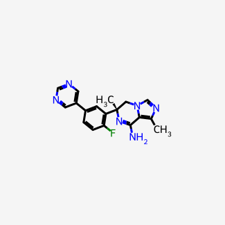 Cc1ncn2c1C(N)=N[C@](C)(c1cc(-c3cncnc3)ccc1F)C2